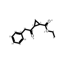 CCOC(=O)C1CC1C(=O)Cc1ccccc1